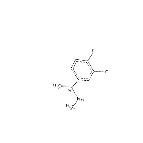 CN[C@H](C)c1ccc(F)c(F)c1